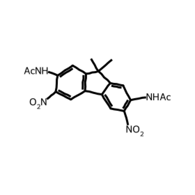 CC(=O)Nc1cc2c(cc1[N+](=O)[O-])-c1cc([N+](=O)[O-])c(NC(C)=O)cc1C2(C)C